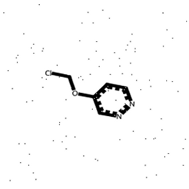 ClCOc1ccnnc1